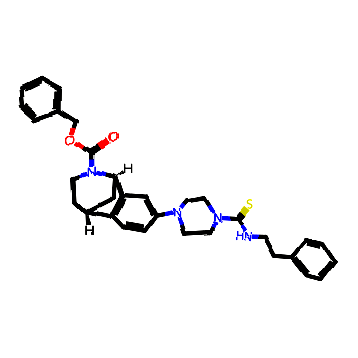 O=C(OCc1ccccc1)N1CC[C@@H]2C[C@@H]1c1cc(N3CCN(C(=S)NCCc4ccccc4)CC3)ccc12